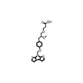 COC(COCCC(=O)O)Cc1ccc(OCn2c3sccc3c3ccsc32)cc1